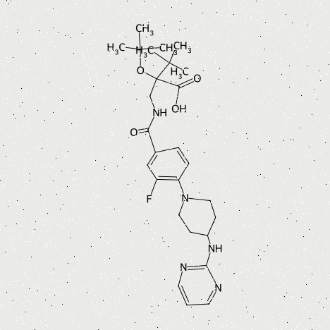 CC(C)(C)OC(CNC(=O)c1ccc(N2CCC(Nc3ncccn3)CC2)c(F)c1)(C(=O)O)C(C)(C)C